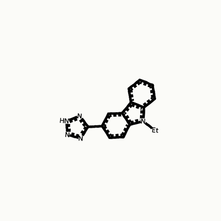 CCn1c2ccccc2c2cc(-c3nn[nH]n3)ccc21